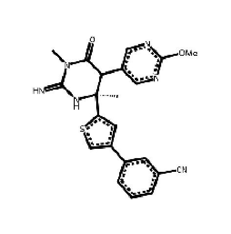 COc1ncc(C2C(=O)N(C)C(=N)N[C@]2(C)c2cc(-c3cccc(C#N)c3)cs2)cn1